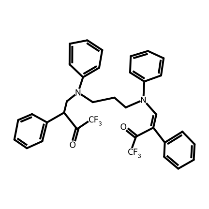 O=C(/C(=C\N(CCCN(CC(C(=O)C(F)(F)F)c1ccccc1)c1ccccc1)c1ccccc1)c1ccccc1)C(F)(F)F